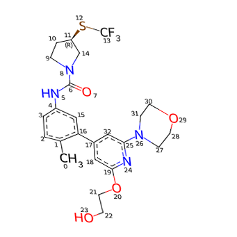 Cc1ccc(NC(=O)N2CC[C@@H](SC(F)(F)F)C2)cc1-c1cc(OCCO)nc(N2CCOCC2)c1